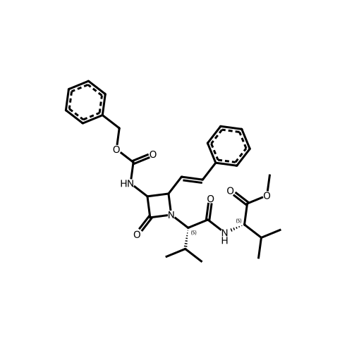 COC(=O)[C@@H](NC(=O)[C@H](C(C)C)N1C(=O)C(NC(=O)OCc2ccccc2)C1C=Cc1ccccc1)C(C)C